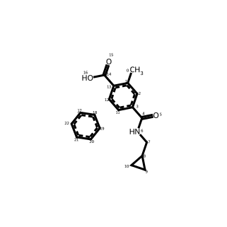 Cc1cc(C(=O)NCC2CC2)[c]cc1C(=O)O.[c]1ccccc1